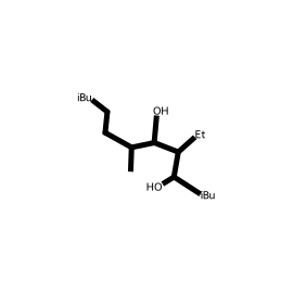 CCC(C)CCC(C)C(O)C(CC)C(O)C(C)CC